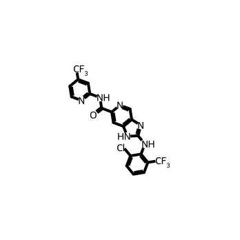 O=C(Nc1cc(C(F)(F)F)ccn1)c1cc2[nH]c(Nc3c(Cl)cccc3C(F)(F)F)nc2cn1